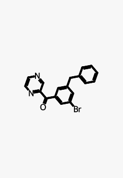 O=C(c1cc(Br)cc(Cc2ccccc2)c1)c1cnccn1